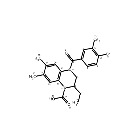 CCC1CN(C(=O)c2ccc(Br)c(C)c2)c2cc(C)c(C)cc2N1C(=O)O